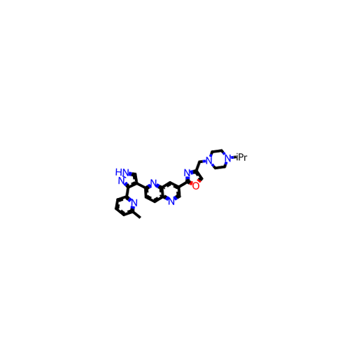 Cc1cccc(-c2n[nH]cc2-c2ccc3ncc(-c4nc(CN5CCN(C(C)C)CC5)co4)cc3n2)n1